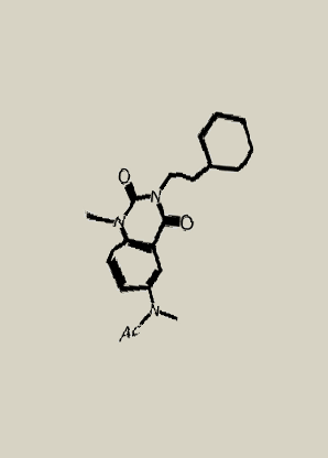 CC(=O)N(C)c1ccc2c(c1)c(=O)n(CCC1CCCCC1)c(=O)n2C